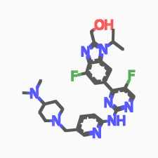 CC(C)n1c(CO)nc2c(F)cc(-c3nc(Nc4ccc(CN5CCC(N(C)C)CC5)cn4)ncc3F)cc21